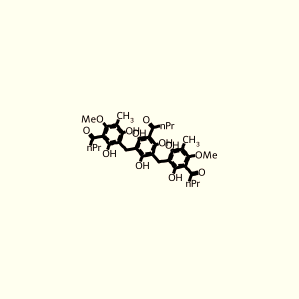 CCCC(=O)c1c(O)c(Cc2c(O)c(C)c(OC)c(C(=O)CCC)c2O)c(O)c(Cc2c(O)c(C)c(OC)c(C(=O)CCC)c2O)c1O